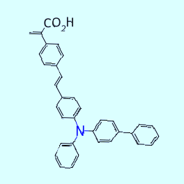 C=C(C(=O)O)c1ccc(C=Cc2ccc(N(c3ccccc3)c3ccc(-c4ccccc4)cc3)cc2)cc1